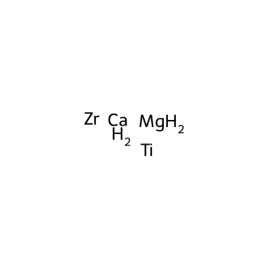 [CaH2].[MgH2].[Ti].[Zr]